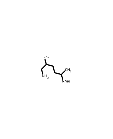 CCCC(CN)CCC(C)NC